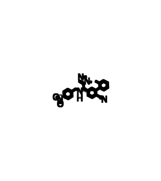 Cc1ccccc1-c1cc([C@@H](NCc2ccc([N+](=O)[O-])cc2)c2cncn2C)ccc1C#N